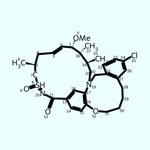 CO[C@H]1/C=C/C[C@H](C)C/[SH](=O)=N\C(=O)c2ccc3c(c2)N(Cc2ccc(Cl)cc2CCCCO3)C[C@H](C)[C@H]1C